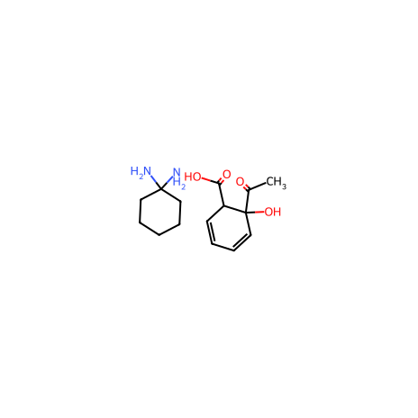 CC(=O)C1(O)C=CC=CC1C(=O)O.NC1(N)CCCCC1